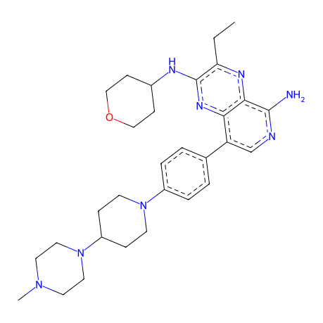 CCc1nc2c(N)ncc(-c3ccc(N4CCC(N5CCN(C)CC5)CC4)cc3)c2nc1NC1CCOCC1